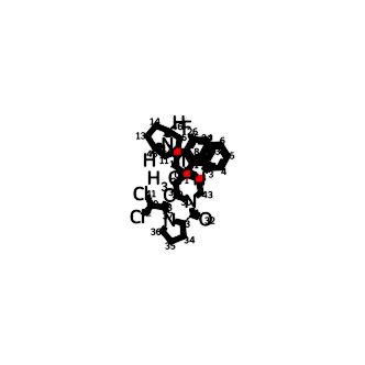 Cc1nc2ccccc2n1C1C[C@H]2CC[C@@H](C1)N2CCC1(c2cccc(F)c2)CCN(C(=O)[C@@H]2CCCN2C(=O)C(Cl)Cl)CC1